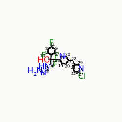 N/N=C\NCC(O)(c1ccc(F)cc1F)C(F)(F)c1ccc(Cc2ccc(Cl)nc2)cn1